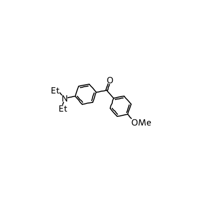 CCN(CC)c1ccc(C(=O)c2ccc(OC)cc2)cc1